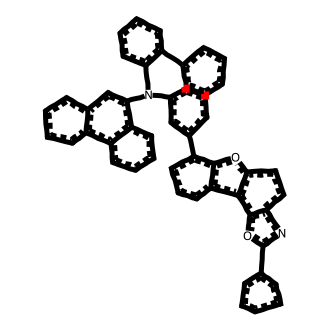 c1ccc(-c2nc3ccc4oc5c(-c6cccc(N(c7ccccc7-c7ccccc7)c7cc8ccccc8c8ccccc78)c6)cccc5c4c3o2)cc1